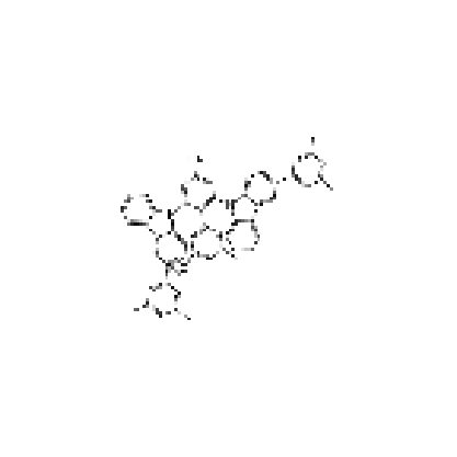 Cc1cc(C)cc(-c2ccc3c(c2)c2ccccc2n3-c2cc(C#N)cc(-n3c4ccccc4c4cc(-c5cc(C)cc(C)c5)ccc43)c2-c2cc(C)cc(C(F)(F)F)c2)c1